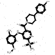 COc1ccc(C)c(Nc2cc(S(N)(=O)=O)ncc2C(=O)N2CCC(c3ccc(F)cc3)CC2)c1